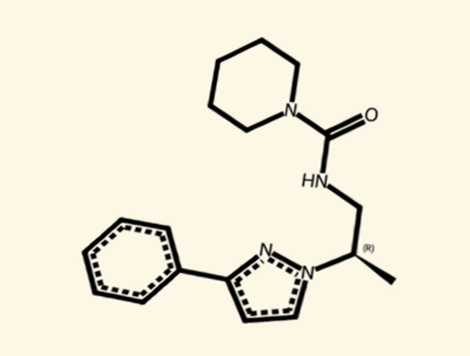 C[C@H](CNC(=O)N1CCCCC1)n1ccc(-c2ccccc2)n1